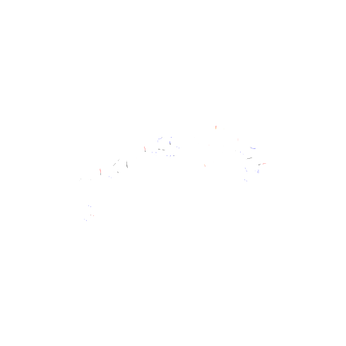 CN[C@@H](CCCNC(N)=O)C(=O)Nc1ccc(COC(=O)Nc2ncnc3c2ncn3C2OC3COP(=O)(S)OC4C(COP(=O)(S)OC2C3O)OC(n2cnc3c(=O)[nH]c(N)nc32)C4O)cc1